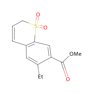 CCc1cc2c(cc1C(=O)OC)S(=O)(=O)CC=C2